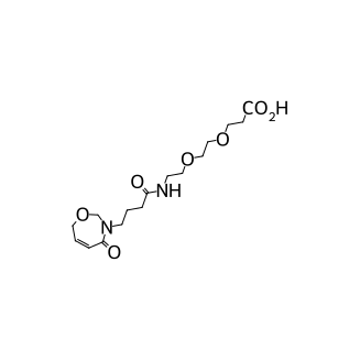 O=C(O)CCOCCOCCNC(=O)CCCN1COCC=CC1=O